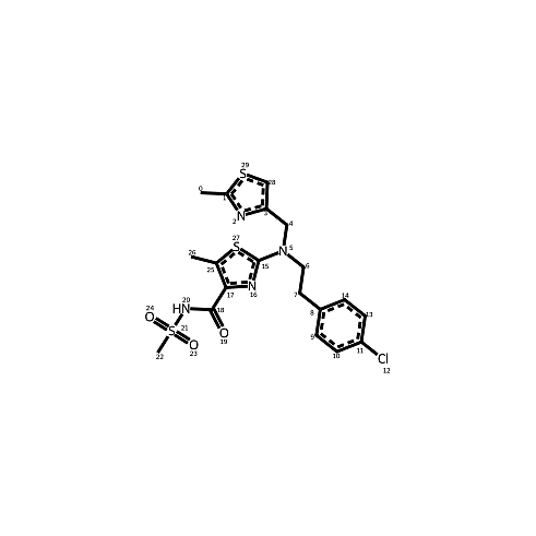 Cc1nc(CN(CCc2ccc(Cl)cc2)c2nc(C(=O)NS(C)(=O)=O)c(C)s2)cs1